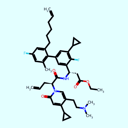 C=CCCCCc1cc(F)cc(C)c1-c1cc(C2CC2)c(F)c([C@H](CC(=O)OCC)NC(=O)[C@H](CC=C)n2cc(CCN(C)C)c(C3CC3)cc2=O)c1